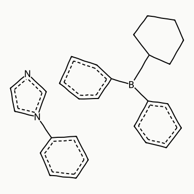 c1ccc(-n2ccnc2)cc1.c1ccc(B(c2ccccc2)C2CCCCC2)cc1